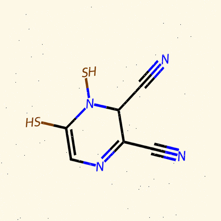 N#CC1=NC=C(S)N(S)C1C#N